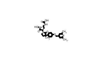 Cc1cc(COc2ccc(C3(C)CCN([C@H](CCNC(=O)O)C(=O)NO)C3=O)cc2)cc(C)n1